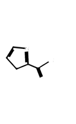 O=C(Cl)C1=NC=CC1